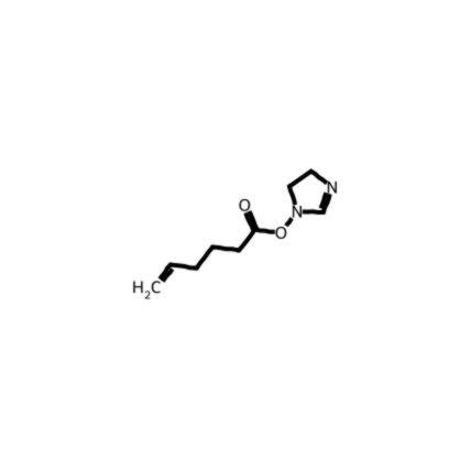 C=CCCCC(=O)ON1C=NCC1